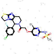 CCc1nc(NS(C)(=O)=O)ncc1OCC(=O)N1CCc2nc3n(c2C1c1ccc(Cl)cc1F)CCS3